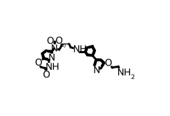 NCCOc1cncc(-c2cccc(CNCC[C@H]3CN(c4ccc5c(n4)NC(=O)CO5)C(=O)O3)c2)c1